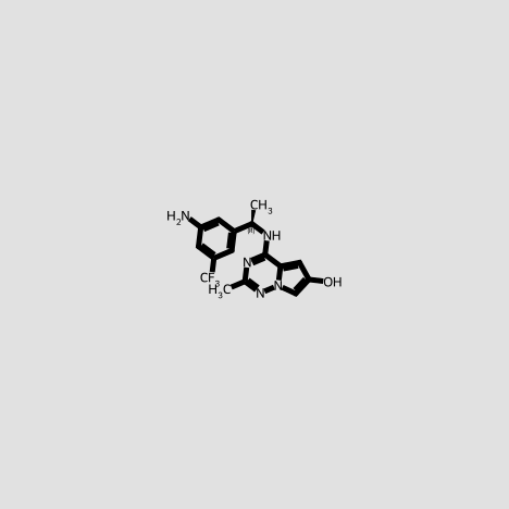 Cc1nc(N[C@H](C)c2cc(N)cc(C(F)(F)F)c2)c2cc(O)cn2n1